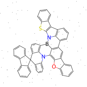 c1ccc2c(c1)-c1ccccc1C21c2ccccc2N2c3c(cccc31)B1c3c(cc4c(oc5ccccc54)c32)-c2cccc3c4c5ccccc5sc4n1c23